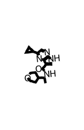 CC(NC(=O)c1c[nH]c2ncc(C3CC3)nc12)C1CCOCC1